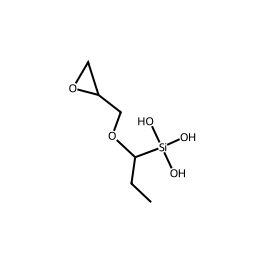 CCC(OCC1CO1)[Si](O)(O)O